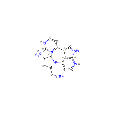 NCC1CCCN1c1ccnc2[nH]cc(-c3ccnc(N)n3)c12